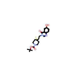 CC(C)(C)OC(=O)N1CCC(F)(CCn2cnc3ccc(O)cc3c2=O)CC1